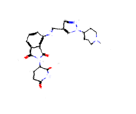 CCOC(=O)N1CCC(n2cc(CNc3cccc4c3C(=O)N(C3CCC(=O)NC3=O)C4=O)cn2)CC1